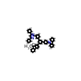 CC1(C)c2ccccc2-c2ccc(-c3cc(-c4ccc(-n5c6ccccc6c6ccccc65)cc4)cc(-c4cccc(-c5nc(-c6ccccc6)cc(-c6ccccc6)n5)c4)c3)cc21